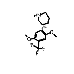 COc1cc(C(F)(F)F)c(OC)cc1[C@H]1CCCNC1